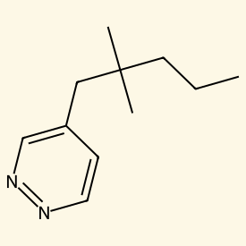 CCCC(C)(C)Cc1ccnnc1